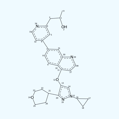 CC(O)Cc1cc(-c2ccc3c(Oc4cn(C5CC5)nc4C4CCOCC4)ccnc3c2)ccn1